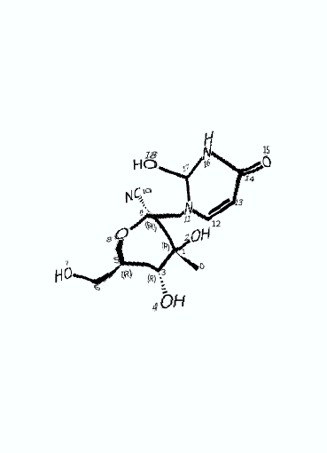 C[C@@]1(O)[C@H](O)[C@@H](CO)O[C@@]1(C#N)N1C=CC(=O)NC1O